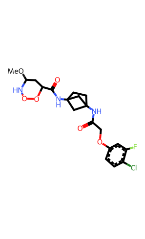 COC1CC(C(=O)NC23CCC(NC(=O)COc4ccc(Cl)c(F)c4)(C2)C3)OON1